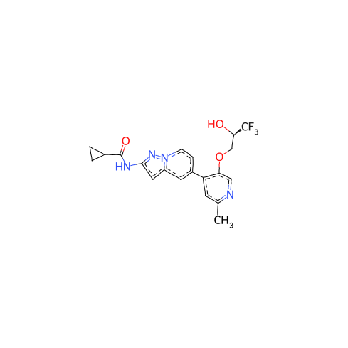 Cc1cc(-c2ccn3nc(NC(=O)C4CC4)cc3c2)c(OC[C@@H](O)C(F)(F)F)cn1